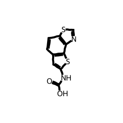 O=C(O)Nc1cc2ccc3scnc3c2s1